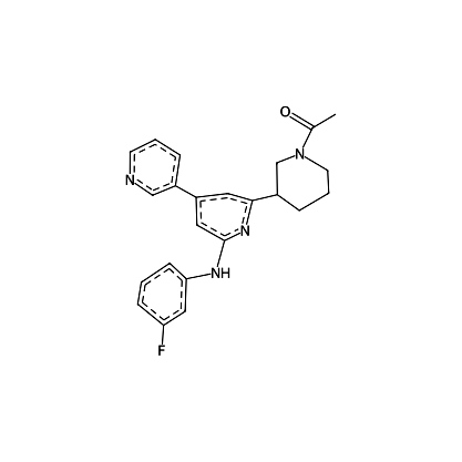 CC(=O)N1CCCC(c2cc(-c3cccnc3)cc(Nc3cccc(F)c3)n2)C1